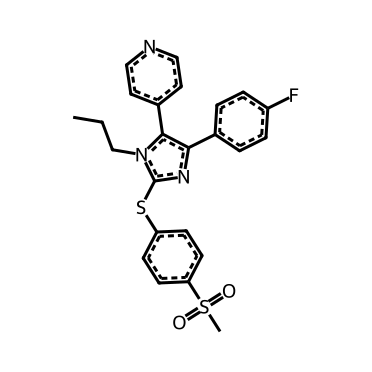 CCCn1c(Sc2ccc(S(C)(=O)=O)cc2)nc(-c2ccc(F)cc2)c1-c1ccncc1